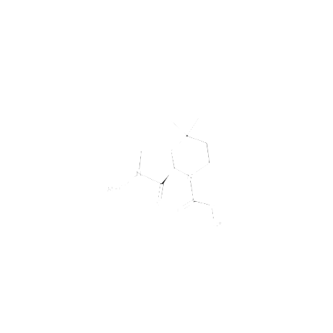 CON(C)C(=O)[C@H]1CC(C)(C)CCN1C(=O)OC(C)(C)C